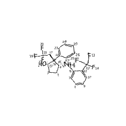 O[C@H]1CC[C@@H](Nc2ccccc2C(F)(F)F)[C@@]1(CC(F)(F)F)c1ccccc1